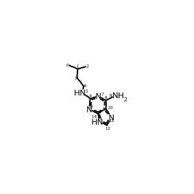 CC(C)CCNc1nc(N)c2nc[nH]c2n1